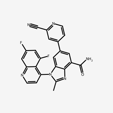 Cc1nc2c(C(N)=O)cc(-c3ccnc(C#N)c3)cc2n1-c1ccnc2cc(F)cc(F)c12